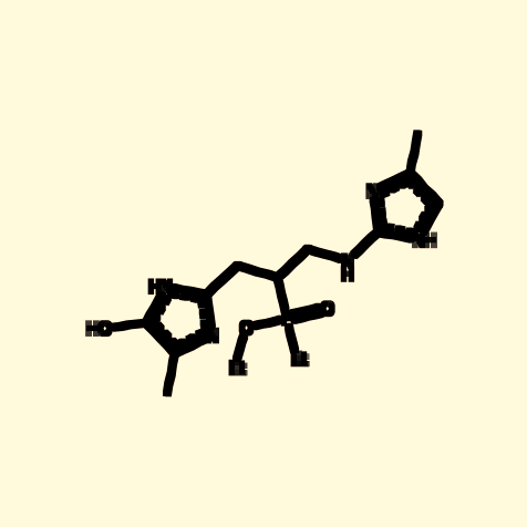 CCOP(=O)(CC)C(CNc1nc(C)c[nH]1)Cc1nc(C)c(O)[nH]1